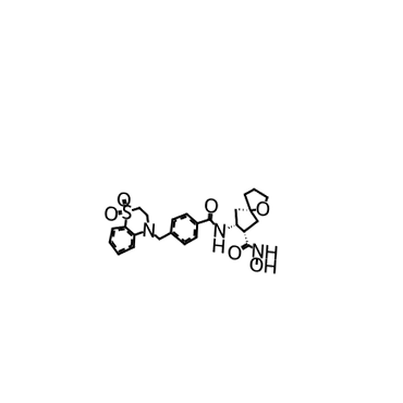 O=C(N[C@@H]1C[C@@]2(CCCO2)C[C@@H]1C(=O)NO)c1ccc(CN2CCS(=O)(=O)c3ccccc32)cc1